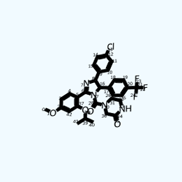 COc1ccc(C2=NC(c3ccc(Cl)cc3)C(c3ccc(C(F)(F)F)cc3)N2C(=O)N2CCNC(=O)C2)c(OC(C)C)c1